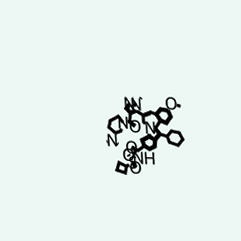 COc1ccc2c(c1)C=C(c1c(C(=O)N3CCCC(N(C)C)C3)cnn1C)Cn1c-2c(C2CCCCC2)c2ccc(C(=O)NS(=O)(=O)C3CCC3)cc21